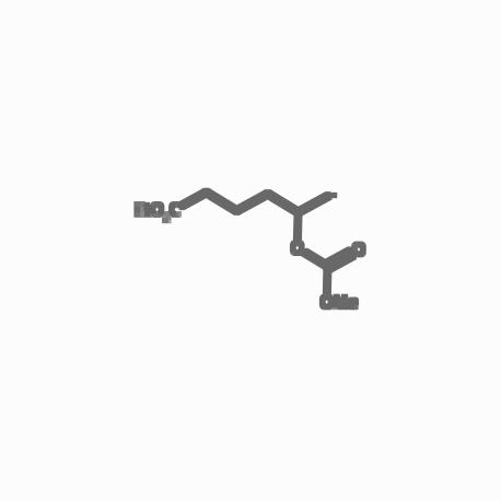 [CH2]C(CCCC(=O)OCC)OC(=O)OC